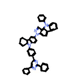 C1=Cc2c(c3cc(-n4ncc5c4ccc4c6ccccc6n(-c6ccccc6)c45)ccc3n2-c2ccc(-c3cc(-c4ccccc4)nc(-c4ccccc4)n3)cc2)CC1